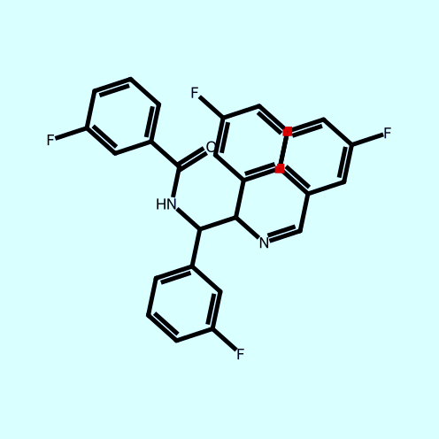 O=C(NC(c1cccc(F)c1)C(/N=C\c1cccc(F)c1)c1cccc(F)c1)c1cccc(F)c1